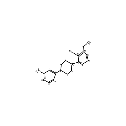 Cc1cc(C2CCN(c3cccc(CO)c3F)CC2)ccn1